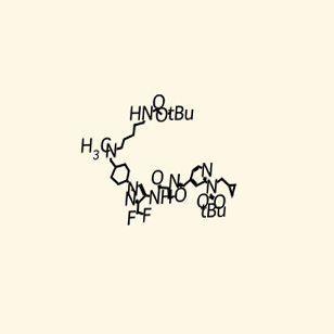 CN(CCCCCNC(=O)OC(C)(C)C)CC1CCC(n2cc(NC(=O)c3coc(-c4ccnc(N(CC5CC5)C(=O)OC(C)(C)C)c4)n3)c(C(F)F)n2)CC1